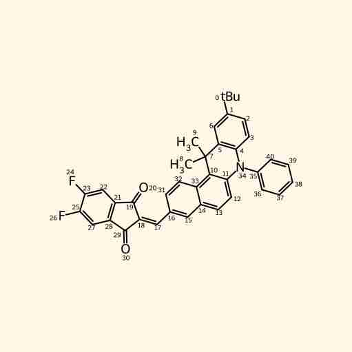 CC(C)(C)c1ccc2c(c1)C(C)(C)c1c(ccc3cc(C=C4C(=O)c5cc(F)c(F)cc5C4=O)ccc13)N2c1ccccc1